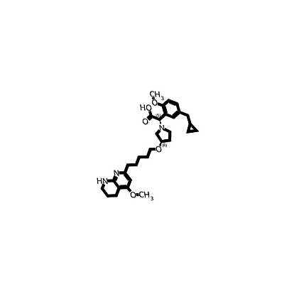 COc1ccc(CC2CC2)cc1[C@@H](C(=O)O)N1CC[C@@H](OCCCCCc2cc(OC)c3c(n2)NCCC3)C1